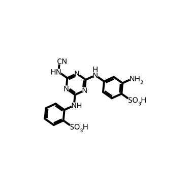 N#CNc1nc(Nc2ccc(S(=O)(=O)O)c(N)c2)nc(Nc2ccccc2S(=O)(=O)O)n1